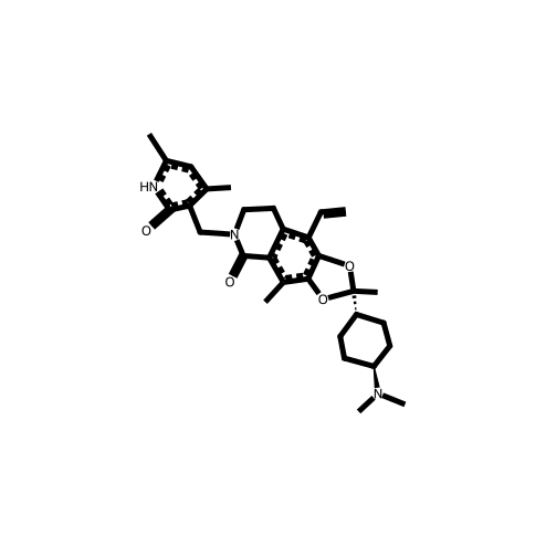 C=Cc1c2c(c(C)c3c1OC(C)([C@H]1CC[C@H](N(C)C)CC1)O3)C(=O)N(Cc1c(C)cc(C)[nH]c1=O)CC2